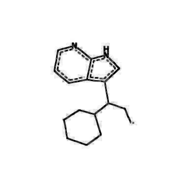 [CH2]CC(c1c[nH]c2ncccc12)C1CCCCC1